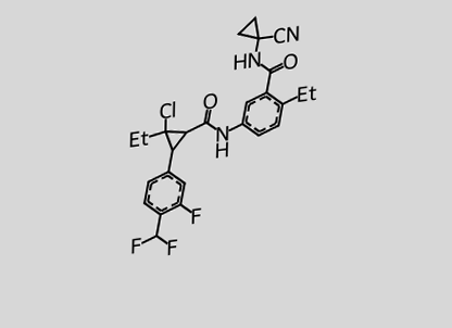 CCc1ccc(NC(=O)C2C(c3ccc(C(F)F)c(F)c3)C2(Cl)CC)cc1C(=O)NC1(C#N)CC1